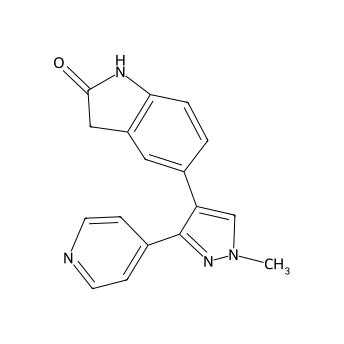 Cn1cc(-c2ccc3c(c2)CC(=O)N3)c(-c2ccncc2)n1